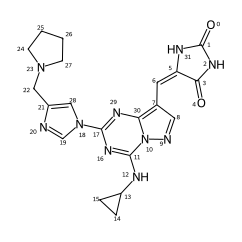 O=C1NC(=O)/C(=C\c2cnn3c(NC4CC4)nc(-n4cnc(CN5CCCC5)c4)nc23)N1